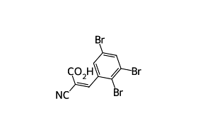 N#CC(=Cc1cc(Br)cc(Br)c1Br)C(=O)O